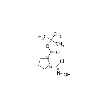 CC(C)(C)OC(=O)N1CCC[C@H]1C(Cl)=NO